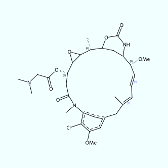 COc1cc2cc(c1Cl)N(C)C(=O)C[C@H](OC(=O)CN(C)C)C1OC1[C@H](C)C1CC(NC(=O)O1)[C@H](OC)/C=C/C=C(\C)C2